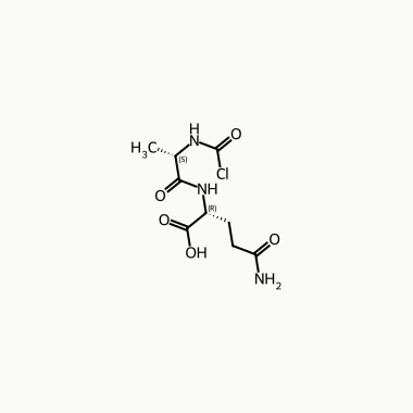 C[C@H](NC(=O)Cl)C(=O)N[C@H](CCC(N)=O)C(=O)O